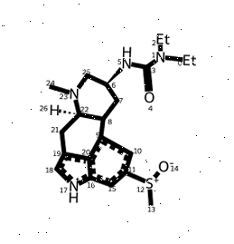 CCN(CC)C(=O)N[C@H]1CC2c3cc([S+](C)[O-])cc4[nH]cc(c34)C[C@H]2N(C)C1